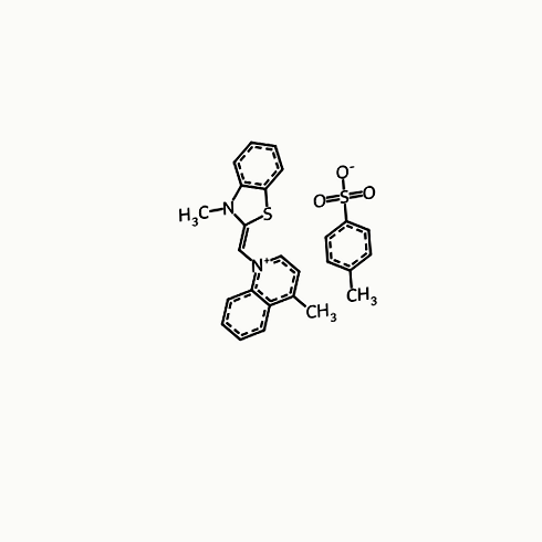 Cc1cc[n+](/C=C2\Sc3ccccc3N2C)c2ccccc12.Cc1ccc(S(=O)(=O)[O-])cc1